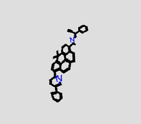 C#C/C(=C\N=C(/C)c1ccc2c3c1ccc1ccc4c(-c5ccc(-c6ccccc6)cn5)ccc(c4c13)C2(C)C)c1ccccc1